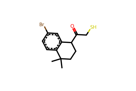 CC1(C)CCC(C(=O)CS)c2cc(Br)ccc21